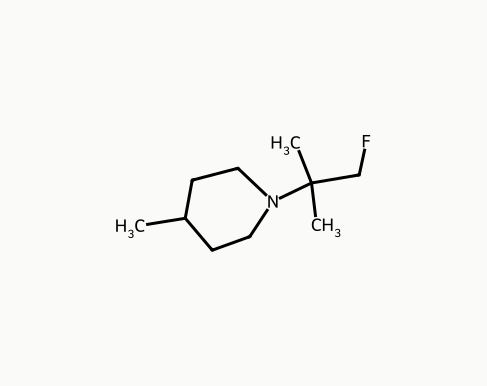 CC1CCN(C(C)(C)CF)CC1